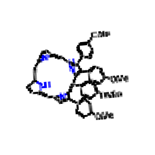 COc1ccc(C2=Cc3cc4ccc(cc5nc(cc6[nH]c(c(-c7ccc(OC)cc7)c2n3)c(-c2ccc(OC)cc2)c6-c2ccc(OC)cc2)C=C5)[nH]4)cc1.[Co]